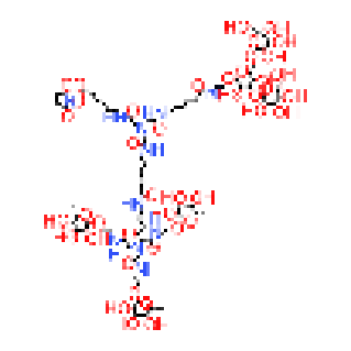 C[C@@H]1O[C@@H](OCCNC(=O)CN(CC(=O)NCCO[C@@H]2O[C@@H](C)[C@@H](O)[C@@H](O)[C@@H]2O)[C@@H](CCCCNC(=O)CCCCCNC(=O)CN(CC(=O)NCCCCCC(=O)NCCO[C@H]2O[C@H](CO[C@H]3O[C@H](CO)[C@@H](O)[C@H](O)[C@@H]3O)[C@@H](O)[C@H](O[C@H]3O[C@H](CO)[C@@H](O)[C@H](O)[C@@H]3O)[C@@H]2O)CC(=O)NCCCCCC(=O)ON2C(=O)CCC2=O)C(=O)NCCO[C@@H]2O[C@@H](C)[C@@H](O)[C@@H](O)[C@@H]2O)[C@@H](O)[C@H](O)[C@@H]1O